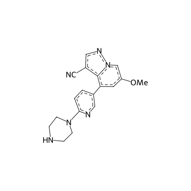 COc1cc(-c2ccc(N3CCNCC3)nc2)c2c(C#N)cnn2c1